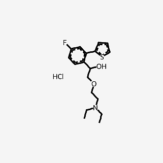 CCN(CC)CCOCC(O)c1ccc(F)cc1-c1cccs1.Cl